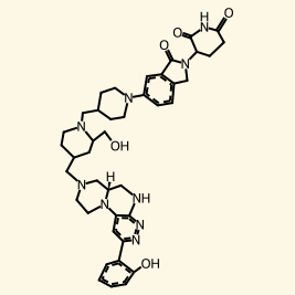 O=C1CCC(N2Cc3ccc(N4CCC(CN5CCC(CN6CCN7c8cc(-c9ccccc9O)nnc8NC[C@H]7C6)CC5CO)CC4)cc3C2=O)C(=O)N1